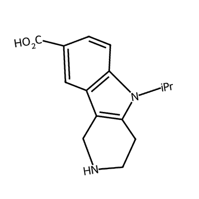 CC(C)n1c2c(c3cc(C(=O)O)ccc31)CNCC2